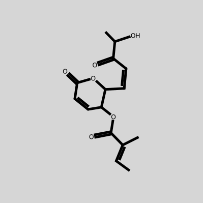 C/C=C(\C)C(=O)OC1C=CC(=O)OC1/C=C\C(=O)C(C)O